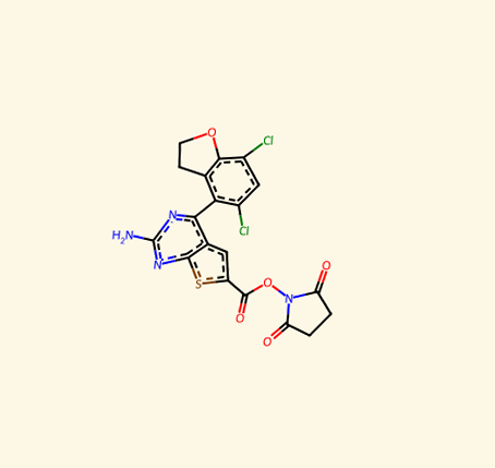 Nc1nc(-c2c(Cl)cc(Cl)c3c2CCO3)c2cc(C(=O)ON3C(=O)CCC3=O)sc2n1